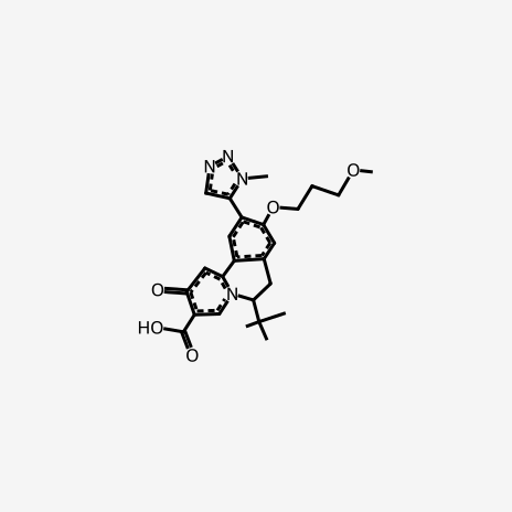 COCCCOc1cc2c(cc1-c1cnnn1C)-c1cc(=O)c(C(=O)O)cn1C(C(C)(C)C)C2